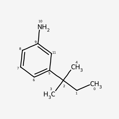 CCC(C)(C)c1cccc(N)c1